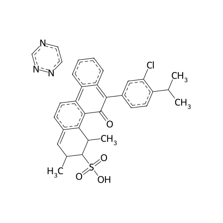 CC(C)c1ccc(C2=c3ccccc3=c3ccc4c(c3C2=O)C(C)C(S(=O)(=O)O)C(C)C=4)cc1Cl.c1cnncn1